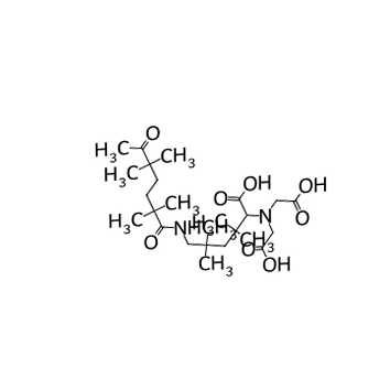 CC(=O)C(C)(C)CCC(C)(C)C(=O)NCC(C)(C)CC(C)(C)C(C(=O)O)N(CC(=O)O)CC(=O)O